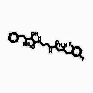 NC(CC(=O)NCCNC(=O)C(O)C(N)Cc1ccccc1)Cc1cc(F)ccc1F